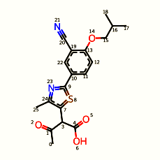 CC(=O)C(C(=O)O)c1sc(-c2ccc(OCC(C)C)c(C#N)c2)nc1C